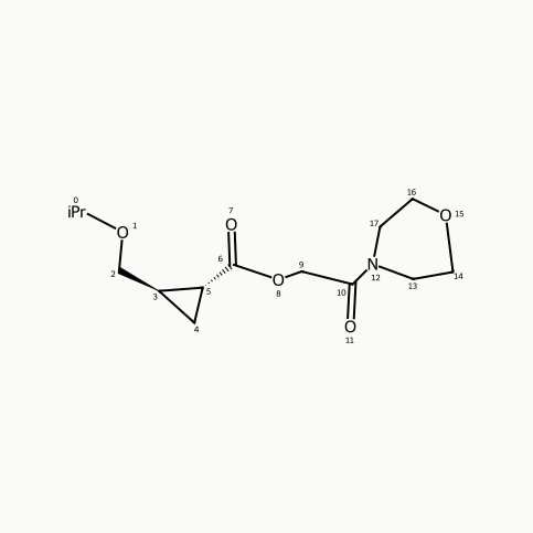 CC(C)OC[C@@H]1C[C@H]1C(=O)OCC(=O)N1CCOCC1